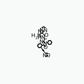 CC(NC(=O)c1c(N)nn2cccnc12)c1nc2cccc(C#Cc3cocn3)c2c(=O)n1-c1ccccc1